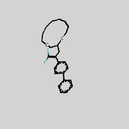 FC(F)=C(CC1CCCCCCCCCCC1)c1ccc(-c2ccccc2)cc1